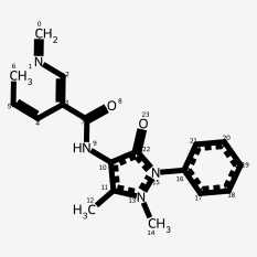 C=N/C=C(\C=C/C)C(=O)Nc1c(C)n(C)n(-c2ccccc2)c1=O